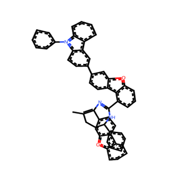 C/C1=C(c2ccc3c(c2)oc2ccccc23)\N=C(\c2cccc3oc4cc(-c5ccc6c(c5)c5ccccc5n6-c5ccccc5)ccc4c23)NC(c2ccccc2)CC1